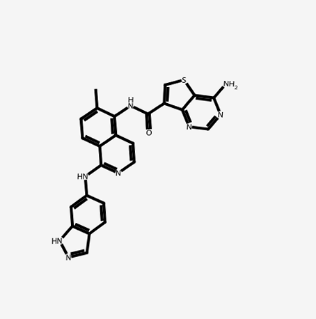 Cc1ccc2c(Nc3ccc4cn[nH]c4c3)nccc2c1NC(=O)c1csc2c(N)ncnc12